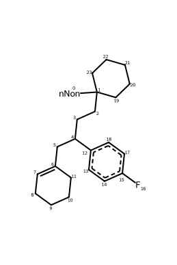 CCCCCCCCCC1(CCC(CC2=CCCCC2)c2ccc(F)cc2)CCCCC1